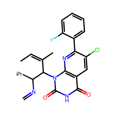 C=NC(C(C)C)C(/C(C)=C\C)n1c(=O)[nH]c(=O)c2cc(Cl)c(-c3ccccc3F)nc21